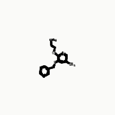 CC(=O)OCCOc1ncc(C)cc1SCc1ccccc1